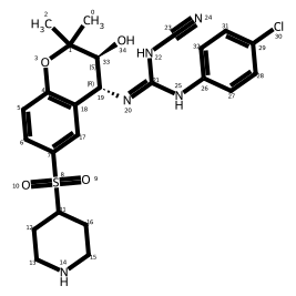 CC1(C)Oc2ccc(S(=O)(=O)C3CCNCC3)cc2[C@@H](N=C(NC#N)Nc2ccc(Cl)cc2)[C@@H]1O